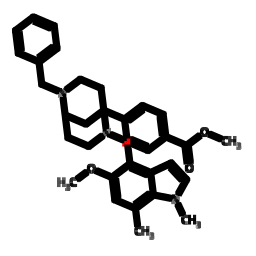 COC(=O)c1ccc(C23CCN(Cc4ccccc4)C(CCN2Cc2c(OC)cc(C)c4c2ccn4C)C3)cc1